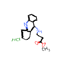 COC(=O)CCNc1c2ccccc2nc2ccccc12.Cl